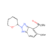 COC(=O)c1c(OC)ccc2nn(C3CCCCO3)nc12